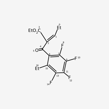 CCC=C(C(=O)OCC)C(=O)c1c(F)c(F)c(F)c(F)c1CC